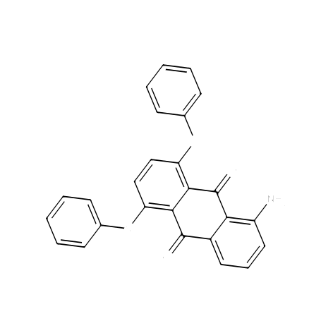 Nc1cccc2c1C(=O)c1c(Sc3ccccc3)ccc(Sc3ccccc3)c1C2=O